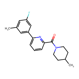 Cc1cc(F)cc(-c2cccc(C(=O)N3CCC(C)CC3)n2)c1